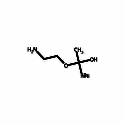 CCCCC(C)(O)OCCN